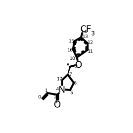 C=CC(=O)N1CC[C@H](COc2ccc(C(F)(F)F)cc2)C1